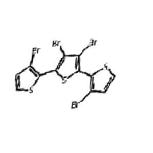 Brc1ccsc1-c1sc(-c2sccc2Br)c(Br)c1Br